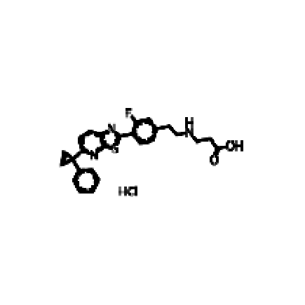 Cl.O=C(O)CCNCCc1ccc(-c2nc3ccc(C4(c5ccccc5)C=C4)nc3s2)c(F)c1